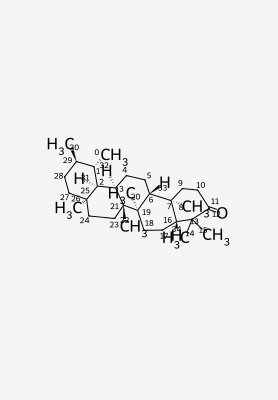 C[C@@H]1[C@H]2[C@H]3CC[C@@H]4[C@@]5(C)CCC(=O)C(C)(C)[C@@H]5CC[C@@]4(C)[C@]3(C)CC[C@@]2(C)CC[C@H]1C